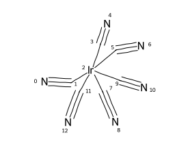 N#[C][Ir]([C]#N)([C]#N)([C]#N)([C]#N)[C]#N